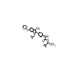 C[C@@H](OC(=O)Nc1ccc(-c2c(C#N)c3ccc(Oc4ncccn4)cc3n2CC2CC2)cc1)C1CC1